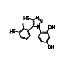 Cc1c(S)cccc1-c1c(S)nnn1-c1ccc(O)cc1O